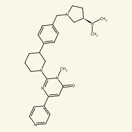 CN(C)[C@@H]1CCN(Cc2ccc(C3CCCN(c4nc(-c5ccncc5)cc(=O)n4C)C3)cc2)C1